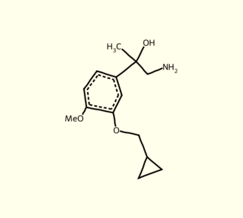 COc1ccc(C(C)(O)CN)cc1OCC1CC1